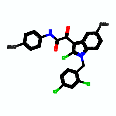 COc1ccc(NC(=O)C(=O)c2c(Cl)n(Cc3ccc(Cl)cc3Cl)c3ccc(OC)cc23)cc1